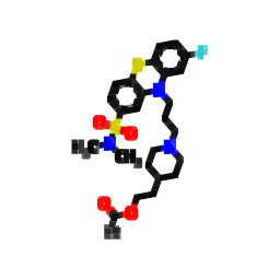 CCC(=O)OCCC1CCN(CCCN2c3cc(F)ccc3Sc3ccc(S(=O)(=O)N(C)C)cc32)CC1